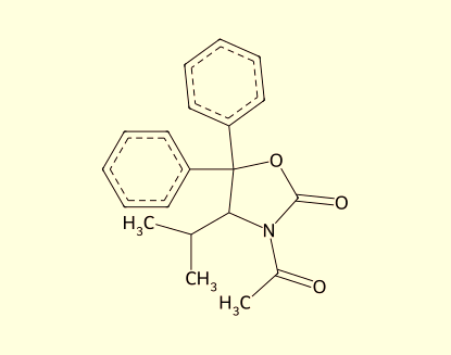 CC(=O)N1C(=O)OC(c2ccccc2)(c2ccccc2)C1C(C)C